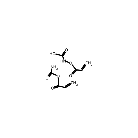 C=CC(=O)OC(N)=O.C=CC(=O)ONC(=O)O